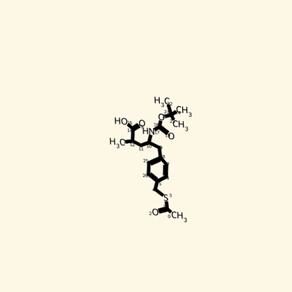 CC(=O)SCc1ccc(CC(CC(C)C(=O)O)NC(=O)OC(C)(C)C)cc1